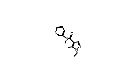 CCn1ncc(C(=O)N(C)c2cccnc2)c1C